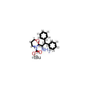 CC(C)(C)OC(=O)N1CCCOC1[C@@H](N)C(c1ccccc1)c1ccccc1